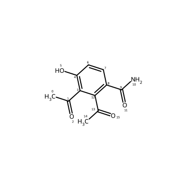 CC(=O)c1c(O)ccc(C(N)=O)c1C(C)=O